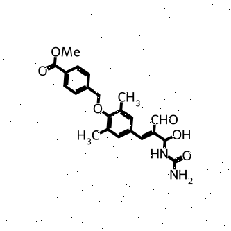 COC(=O)c1ccc(COc2c(C)cc(/C=C(\C=O)C(O)NC(N)=O)cc2C)cc1